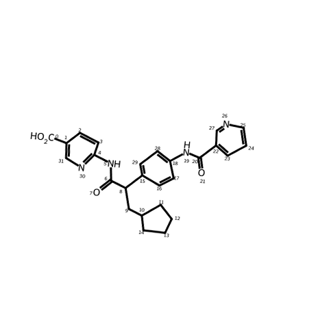 O=C(O)c1ccc(NC(=O)C(CC2CCCC2)c2ccc(NC(=O)c3cccnc3)cc2)nc1